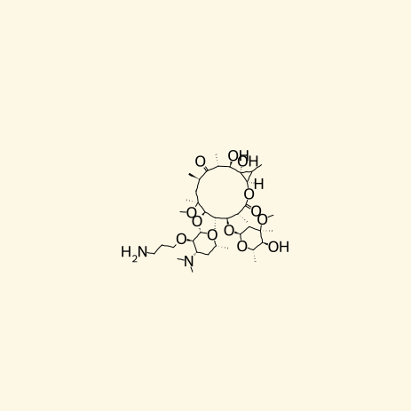 CO[C@]1(C)C[C@H](O[C@H]2[C@H](C)[C@@H](O[C@@H]3O[C@H](C)C[C@H](N(C)C)[C@H]3OCCCN)[C@@](C)(OC)C[C@@H](C)C(=O)[C@H](C)[C@@H](O)[C@@]3(O)C(C)[C@H]3OC(=O)[C@@H]2C)O[C@@H](C)[C@@H]1O